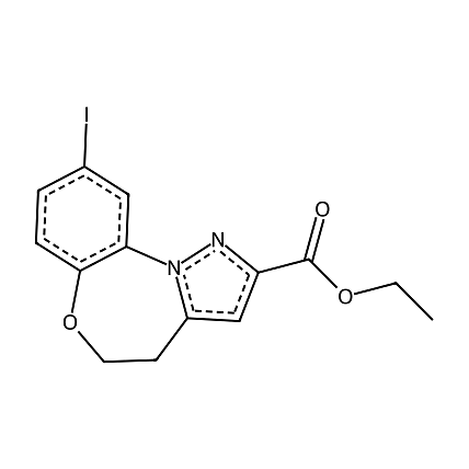 CCOC(=O)c1cc2n(n1)-c1cc(I)ccc1OCC2